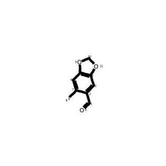 O=Cc1cc2c(cc1I)OCO2